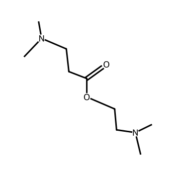 CN(C)CCOC(=O)CCN(C)C